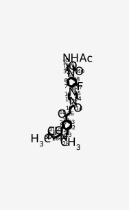 CC(=O)NC[C@H]1CN(c2ccc(N3CCN(C(=O)CCC(=O)c4ccc(CN(C)C(=O)CN(C)C)cc4)CC3)c(F)c2)C(=O)O1